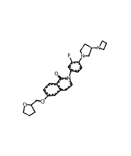 O=c1c2ccc(OCC3CCCO3)cc2ccn1-c1ccc(N2CCC(N3CCC3)C2)c(F)c1